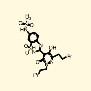 CC(C)CCc1nn(CCC(C)C)c(=O)c(C2=Nc3ccc(NS(C)(=O)=O)cc3S(=O)(=O)N2)c1O